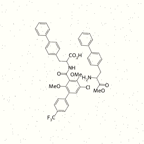 COC(=O)C(N)Cc1ccc(-c2ccccc2)cc1.COc1c(Cl)cc(-c2ccc(C(F)(F)F)cc2)c(OC)c1C(=O)NC(Cc1ccc(-c2ccccc2)cc1)C(=O)O